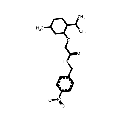 CC1CCC(C(C)C)C(OCC(=O)NCc2ccc([N+](=O)[O-])cc2)C1